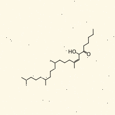 CCCCCC(=O)C(O)C=C(C)CCCC(C)CCCC(C)CCCC(C)C